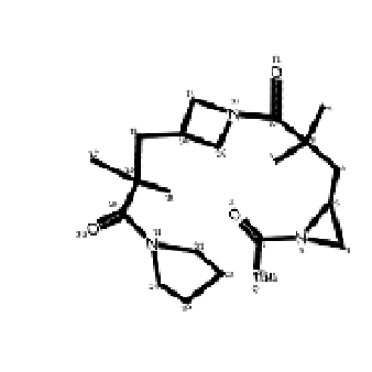 CC(C)(C)C(=O)N1CC1CC(C)(C)C(=O)N1CC(CC(C)(C)C(=O)N2CCCC2)C1